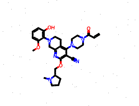 C=CC(=O)N1CCN(c2c(C#N)c(OCC3CCCN3C)nc3c2CCN(c2c(O)cccc2OC)C3)CC1